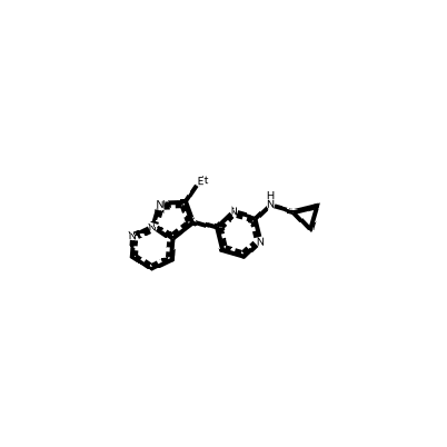 CCc1nn2ncccc2c1-c1ccnc(NC2CC2)n1